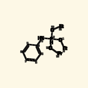 CCO[PH](Nc1ccccc1)(OCC)OC(C)C